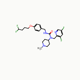 CN1CCC(N(Cc2ncc(F)cc2F)C(=O)NCc2ccc(OCCCC(F)F)cc2)CC1